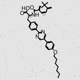 C=C(/C=C\C(=C)C(C)(C)C)C(=O)N[C@@H](Cc1ccc(-c2ncc(-c3ccc(OCCCCCCC)cc3)cn2)cc1)C(=O)O